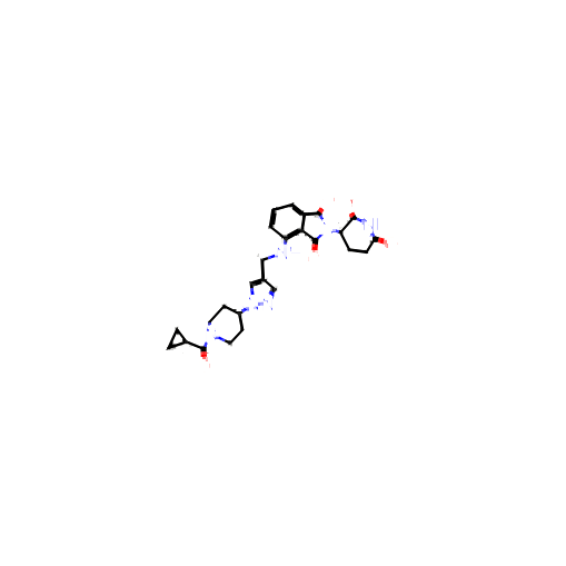 O=C1CCC(N2C(=O)c3cccc(NCc4cnn(C5CCN(C(=O)C6CC6)CC5)c4)c3C2=O)C(=O)N1